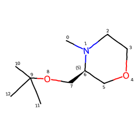 CN1CCOC[C@H]1COC(C)(C)C